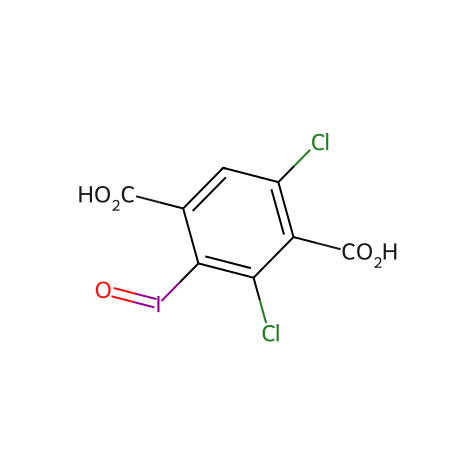 O=Ic1c(C(=O)O)cc(Cl)c(C(=O)O)c1Cl